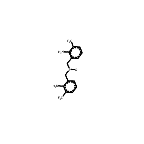 Nc1c(C[S+]([O-])Cc2cccc(C(F)(F)F)c2N)cccc1C(F)(F)F